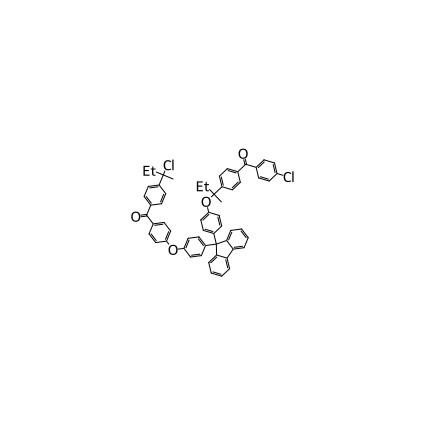 CCC(C)(Cl)c1ccc(C(=O)c2ccc(Oc3ccc(C4(c5ccc(OC(C)(CC)c6ccc(C(=O)c7ccc(Cl)cc7)cc6)cc5)c5ccccc5-c5ccccc54)cc3)cc2)cc1